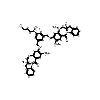 COc1cc2c(cc1OCc1cc(COc3cc4c(cc3OC)C(=O)N3c5ccccc5C[C@H]3CN4C)cc(N(C)CCCC(C)=O)c1)N=C[C@@H]1Cc3ccccc3N1C2=O